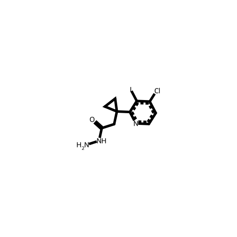 NNC(=O)CC1(c2nccc(Cl)c2I)CC1